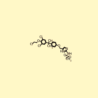 CC(C)(c1ccc(OCc2cnc(NS(C)(=O)=O)[nH]2)cc1)c1cc(Cl)c(OCCCl)c(Cl)c1